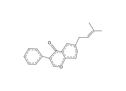 CC(C)=CCc1ccc2occ(-c3ccccc3)c(=O)c2c1